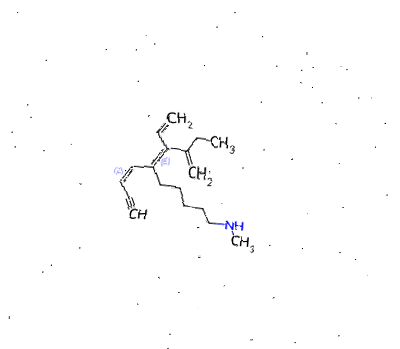 C#C/C=C\C(CCCCCNC)=C(/C=C)C(=C)CC